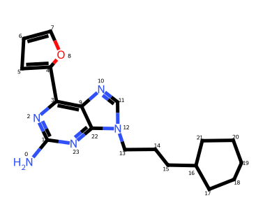 Nc1nc(-c2ccco2)c2ncn(CCCC3CCCCC3)c2n1